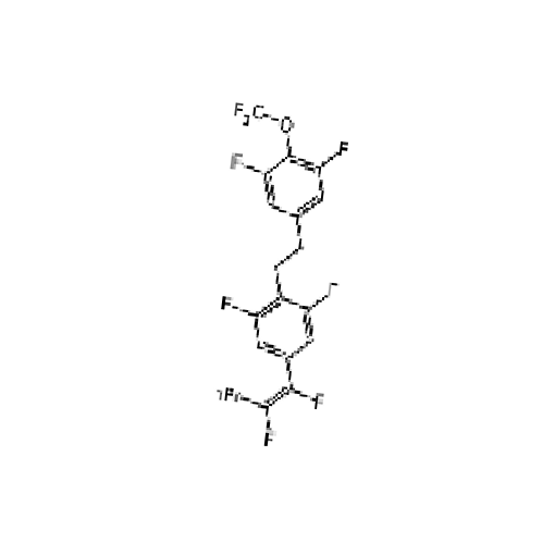 CCC/C(F)=C(/F)c1cc(F)c(CCc2cc(F)c(OC(F)(F)F)c(F)c2)c(F)c1